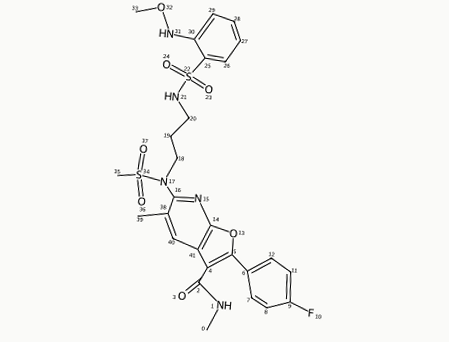 CNC(=O)c1c(-c2ccc(F)cc2)oc2nc(N(CCCNS(=O)(=O)c3ccccc3NOC)S(C)(=O)=O)c(C)cc12